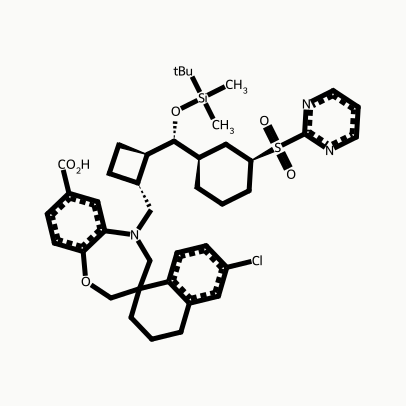 CC(C)(C)[Si](C)(C)O[C@H]([C@@H]1CCC[C@H](S(=O)(=O)c2ncccn2)C1)[C@@H]1CC[C@H]1CN1CC2(CCCc3cc(Cl)ccc32)COc2ccc(C(=O)O)cc21